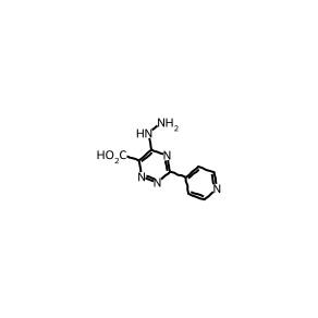 NNc1nc(-c2ccncc2)nnc1C(=O)O